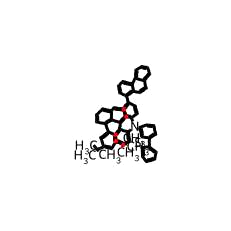 CC(C)(C)c1cc(-c2cccc3cccc(-c4ccccc4N(c4ccc(-c5cccc6c5ccc5ccccc56)cc4)c4cccc5c4sc4ccccc45)c23)cc(C(C)(C)C)c1